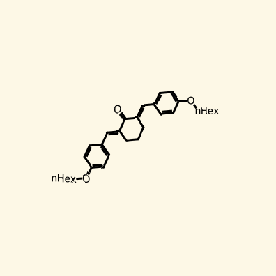 CCCCCCOc1ccc(C=C2CCCC(=Cc3ccc(OCCCCCC)cc3)C2=O)cc1